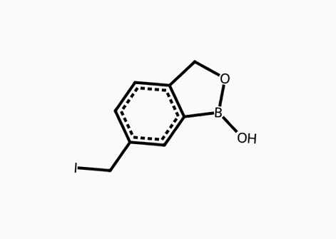 OB1OCc2ccc(CI)cc21